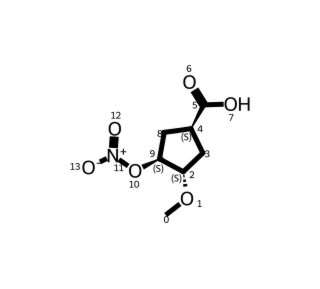 CO[C@H]1C[C@H](C(=O)O)C[C@@H]1O[N+](=O)[O-]